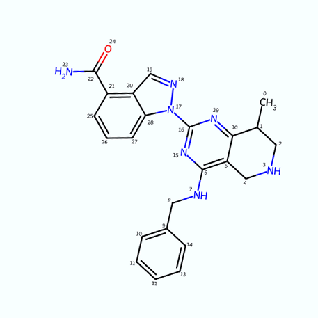 CC1CNCc2c(NCc3ccccc3)nc(-n3ncc4c(C(N)=O)cccc43)nc21